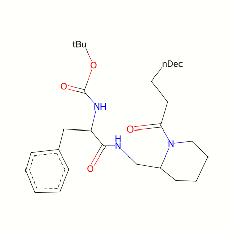 CCCCCCCCCCCCC(=O)N1CCCCC1CNC(=O)C(Cc1ccccc1)NC(=O)OC(C)(C)C